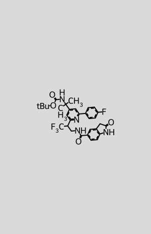 CC(C)(C)OC(=O)NC(C)(C)c1cc(-c2ccc(F)cc2)nc(C(CNC(=O)c2ccc3c(c2)CC(=O)N3)C(F)(F)F)c1